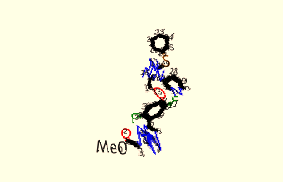 COC(=O)Cn1ncc(-c2cc(F)c(OCc3nnc(SC4C=CCCC4)n3-c3cccnc3)cc2F)n1